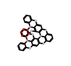 c1ccc2c(c1)Oc1cc3c(c4c1B2c1ccccc1O4)B1c2c(cccc2Sc2cc4c5c(c21)Oc1ccccc1B5c1ccccc1O4)S3